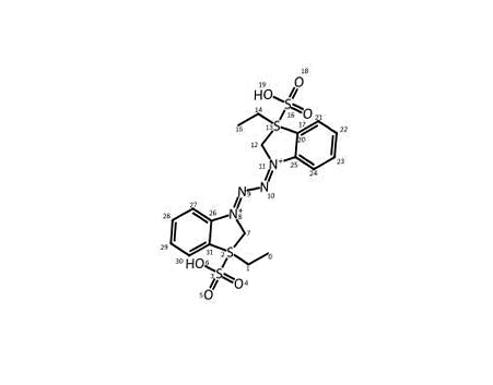 CCS1(S(=O)(=O)O)C[N+](=NN=[N+]2CS(CC)(S(=O)(=O)O)c3ccccc32)c2ccccc21